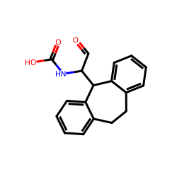 O=CC(NC(=O)O)C1c2ccccc2CCc2ccccc21